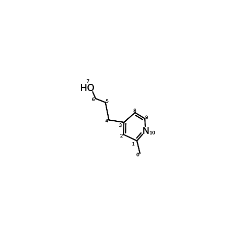 Cc1cc(CCCO)ccn1